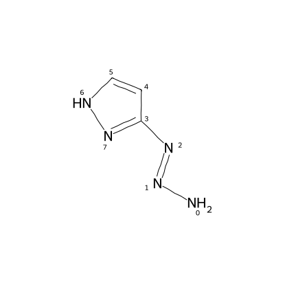 NN=Nc1cc[nH]n1